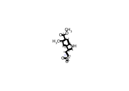 COC(=O)c1cc2[nH]cc(/C=C/[N+](=O)[O-])c2cc1C